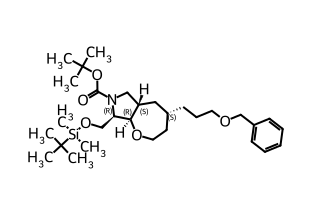 CC(C)(C)OC(=O)N1C[C@@H]2C[C@H](CCCOCc3ccccc3)CCO[C@H]2[C@H]1CO[Si](C)(C)C(C)(C)C